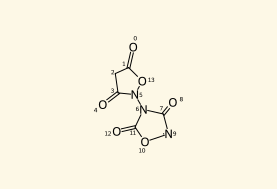 O=C1CC(=O)N(N2C(=O)[N]OC2=O)O1